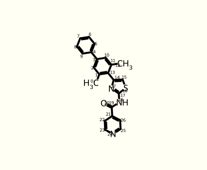 Cc1cc(-c2ccccc2)cc(C)c1-c1csc(NC(=O)c2ccncc2)n1